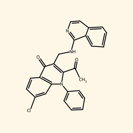 CC(=O)c1c(CNc2nccc3ccccc23)c(=O)c2ccc(Cl)cc2n1-c1ccccc1